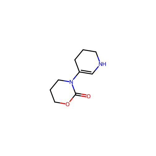 O=C1OCCCN1C1=CNCCC1